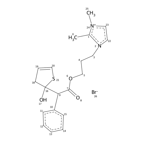 Cc1n(CCCOC(=O)C(c2ccccc2)C2(O)CC=CS2)cc[n+]1C.[Br-]